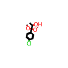 COC(OC)(c1ccc(Cl)cc1)C(C)O